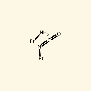 CCN.CCN=C=O